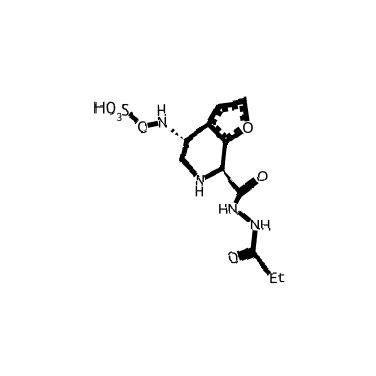 CCC(=O)NNC(=O)[C@H]1NC[C@H](NOS(=O)(=O)O)c2ccoc21